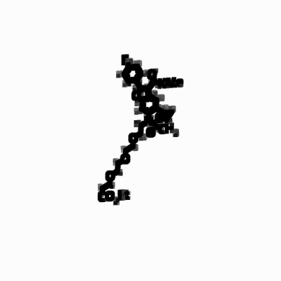 CCOC(=O)CCOCCOCCOCCN(c1cc2oc(-c3ccc(F)cc3)c(C(=O)NC)c2cc1C1CC1)S(C)(=O)=O